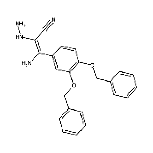 N#C/C(NN)=C(/N)c1ccc(OCc2ccccc2)c(OCc2ccccc2)c1